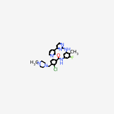 Cc1c(F)cc(NC(=O)c2ccc(CN3CCN(C)CC3)c(Cl)c2)cc1Nc1nccc(-c2cccnc2)n1